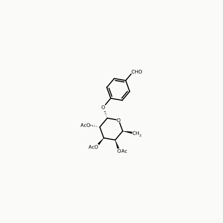 CC(=O)O[C@H]1[C@H](OC(C)=O)[C@H](Oc2ccc(C=O)cc2)O[C@@H](C)[C@H]1OC(C)=O